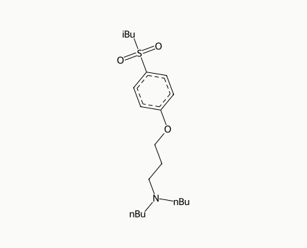 CCCCN(CCCC)CCCOc1ccc(S(=O)(=O)C(C)CC)cc1